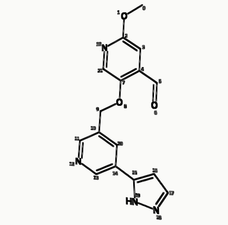 COc1cc(C=O)c(OCc2cncc(-c3ccn[nH]3)c2)cn1